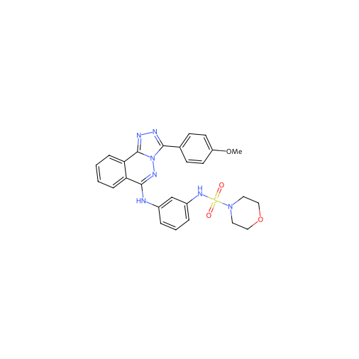 COc1ccc(-c2nnc3c4ccccc4c(Nc4cccc(NS(=O)(=O)N5CCOCC5)c4)nn23)cc1